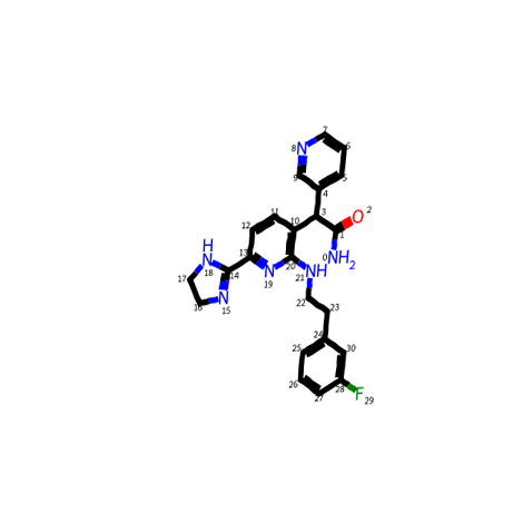 NC(=O)C(c1cccnc1)c1ccc(C2=NCCN2)nc1NCCc1cccc(F)c1